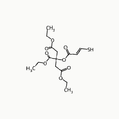 CCOC(=O)CC(CC(=O)OCC)(OC(=O)C=CS)C(=O)OCC